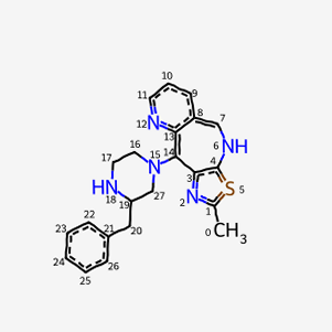 Cc1nc2c(s1)NC=c1cccnc1=C2N1CCNC(Cc2ccccc2)C1